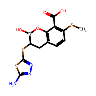 CSc1ccc2c(c1C(=O)O)OB(O)C(Sc1nnc(N)s1)C2